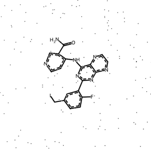 NC(=O)c1cnccc1Nc1nc(-c2cc(CI)ccc2F)nc2nccnc12